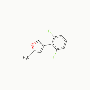 Cc1[c]c(-c2c(F)cccc2F)co1